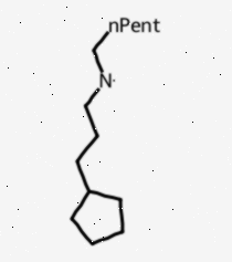 CCCCCC[N]CCCC1CCCC1